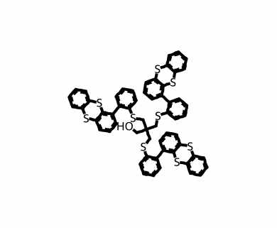 OCC(CSc1ccccc1-c1cccc2c1Sc1ccccc1S2)(CSc1ccccc1-c1cccc2c1Sc1ccccc1S2)CSc1ccccc1-c1cccc2c1Sc1ccccc1S2